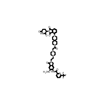 COc1cc2c(cc1NC(=O)c1cccc(C(F)(F)F)n1)CN(CCN1CCN(CC(=O)N3CCC4(CC3)CCN(c3cccc5c3C(=O)N(C3CCC(=O)NC3=O)C5=O)CC4)CC1)C2=O